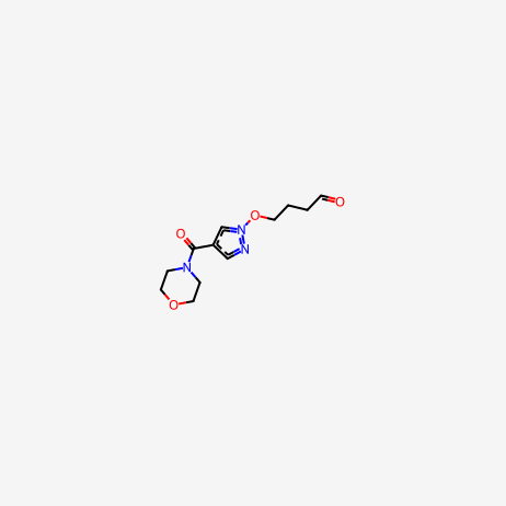 O=CCCCOn1cc(C(=O)N2CCOCC2)cn1